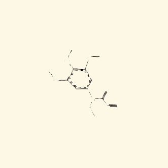 C=CC(=O)N(CC)c1cc(OC)c(OC)c(OC)c1